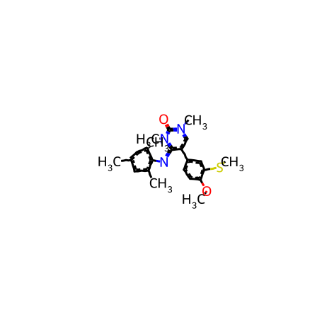 COc1ccc(-c2cn(C)c(=O)n(C)c2=Nc2c(C)cc(C)cc2C)cc1SC